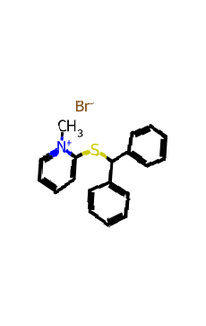 C[n+]1ccccc1SC(c1ccccc1)c1ccccc1.[Br-]